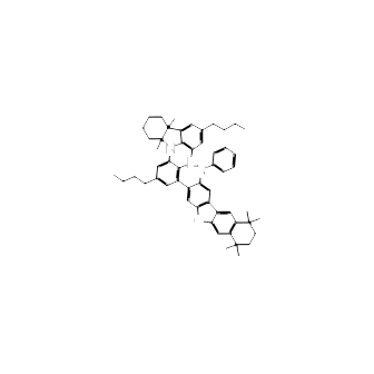 CCCCc1cc2c3c(c1)N1c4c(cc(CCCC)cc4C4(C)CCCCC14C)B3N(c1ccccc1)c1cc3c(cc1-2)oc1cc2c(cc13)C(C)(C)CCC2(C)C